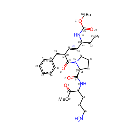 COC(=O)C(CCCN)NC(=O)[C@@H]1CCCN1C(=O)[C@H](/C=C/[C@H](CC(C)C)NC(=O)OC(C)(C)C)Cc1ccccc1